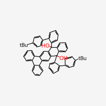 CC(C)(C)c1ccc(-c2ccccc2C2(O)c3ccccc3C(O)(c3ccccc3-c3ccc(C(C)(C)C)cc3)c3cc4c5ccccc5c5ccccc5c4cc32)cc1